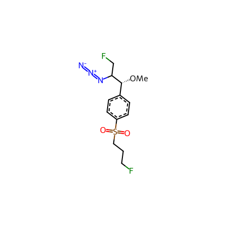 CO[C@H](c1ccc(S(=O)(=O)CCCF)cc1)C(CF)N=[N+]=[N-]